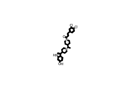 CC(C1CCN(C(=O)C=Cc2ccc(Cl)c(Cl)c2)CC1)N1CCC(c2c[nH]c3cc(O)ccc23)CC1